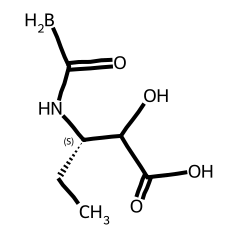 BC(=O)N[C@@H](CC)C(O)C(=O)O